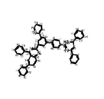 C1=C(c2ccccc2)N=C(c2ccc(-c3cc(-c4ccccn4)cc(-c4nc(-c5ccccc5)c5cc(-c6ccccc6)ccc5n4)c3)cc2)NC1c1ccccc1